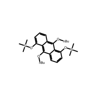 CCCCOc1c2cccc(O[Si](C)(C)C)c2c(OCCCC)c2cccc(O[Si](C)(C)C)c12